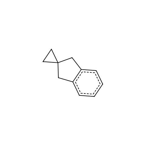 c1ccc2c(c1)CC1(CC1)C2